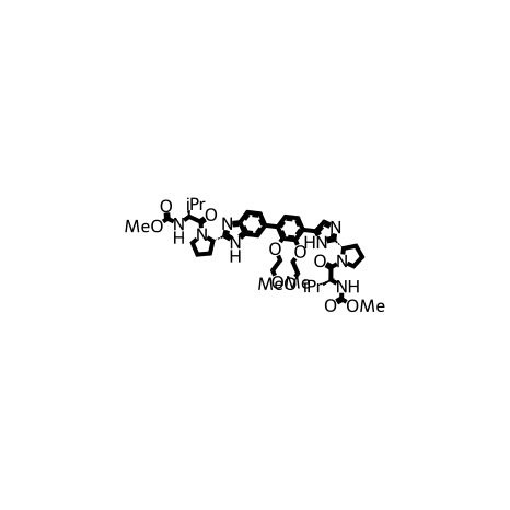 COCCOc1c(-c2ccc3nc([C@@H]4CCCN4C(=O)[C@@H](NC(=O)OC)C(C)C)[nH]c3c2)ccc(-c2cnc([C@@H]3CCCN3C(=O)[C@@H](NC(=O)OC)C(C)C)[nH]2)c1OCCOC